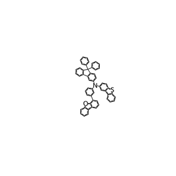 c1ccc(C2(c3ccccc3)c3ccccc3-c3cc(N(c4cccc(-c5cccc6c5oc5ccccc56)c4)c4ccc5sc6ccccc6c5c4)ccc32)cc1